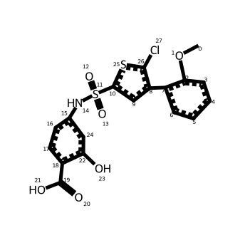 COc1ccccc1-c1cc(S(=O)(=O)Nc2ccc(C(=O)O)c(O)c2)sc1Cl